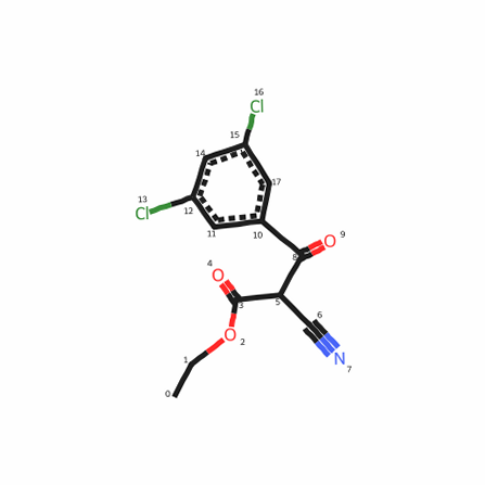 CCOC(=O)C(C#N)C(=O)c1cc(Cl)cc(Cl)c1